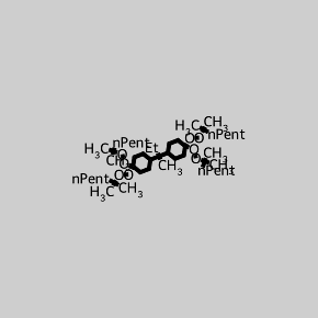 CCCCCC(C)(C)OOC1(OOC(C)(C)CCCCC)CCC(C(C)(CC)C2CCC(OOC(C)(C)CCCCC)(OOC(C)(C)CCCCC)CC2)CC1